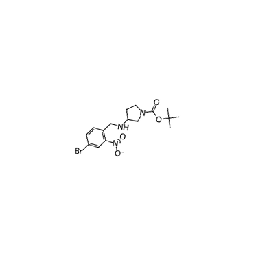 CC(C)(C)OC(=O)N1CCC(NCc2ccc(Br)cc2[N+](=O)[O-])C1